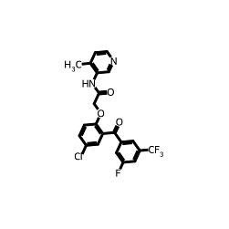 Cc1ccncc1NC(=O)COc1ccc(Cl)cc1C(=O)c1cc(F)cc(C(F)(F)F)c1